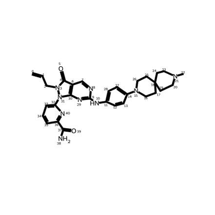 C=CCn1c(=O)c2cnc(Nc3ccc(N4CCC5(CCN(C)CC5)CC4)cc3)nc2n1-c1cccc(C(N)=O)n1